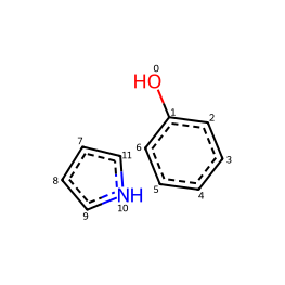 Oc1ccccc1.c1cc[nH]c1